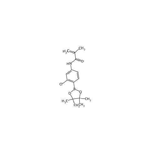 C=C(C)C(=O)Nc1ccc(B2OC(C)(C)C(C)(C)O2)c(Cl)c1